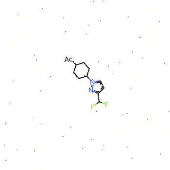 CC(=O)C1CCC(n2ccc(C(F)F)n2)CC1